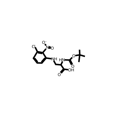 CC(C)(C)OC(=O)NC(CNc1cccc(Cl)c1[N+](=O)[O-])C(=O)O